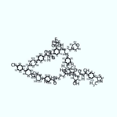 CC1N=CSC1c1ccc([C@H](C)NC(=O)[C@@H]2C[C@@H](O)CN2C(=O)[C@@H](NC(=O)CCCNC(=O)c2ccc(N3CCN(CC4(C)CCC(c5ccc(Cl)cc5)=C(CN5CCN(c6ccc(C(=O)NS(=O)(=O)c7ccc(N[C@H](CCN8CCOCC8)CSc8ccccc8)c(S(=O)(=O)C(F)(F)F)c7)cc6)CC5)C4)CC3)nc2)C(C)(C)C)cc1